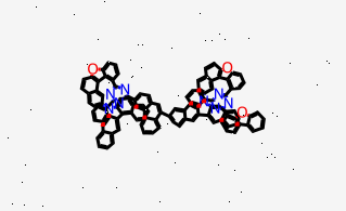 c1ccc(-c2nc(-c3ccc4cc(-c5ccc6cc7c8cc9ccccc9cc8n(-c8ccc9ccc%10oc%11cccc(-c%12nc(-c%13ccccc%13)nc(-c%13cccc%14c%13oc%13ccccc%13%14)n%12)c%11c%10c9c8)c7cc6c5)c5ccccc5c4c3)nc(-c3cccc4oc5ccc6ccc(-n7c8cc9ccccc9cc8c8c9ccccc9ccc87)cc6c5c34)n2)cc1